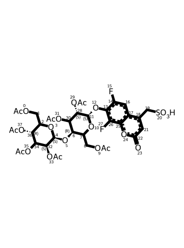 CC(=O)OCC1O[C@@H](O[C@@H]2C(COC(C)=O)O[C@@H](Oc3c(F)cc4c(CS(=O)(=O)O)cc(=O)oc4c3F)[C@@H](OC(C)=O)C2OC(C)=O)[C@@H](OC(C)=O)C(OC(C)=O)[C@@H]1OC(C)=O